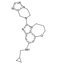 c1nc2n(n1)CCN(c1nc3cc(NCC4CC4)cc4c3n1CCCO4)C2